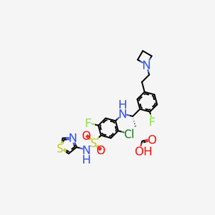 C[C@H](Nc1cc(F)c(S(=O)(=O)Nc2cscn2)cc1Cl)c1cc(CCN2CCC2)ccc1F.O=CO